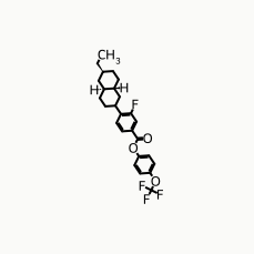 CC[C@H]1CC[C@@H]2CC(c3ccc(C(=O)Oc4ccc(OC(F)(F)F)cc4)cc3F)CC[C@H]2C1